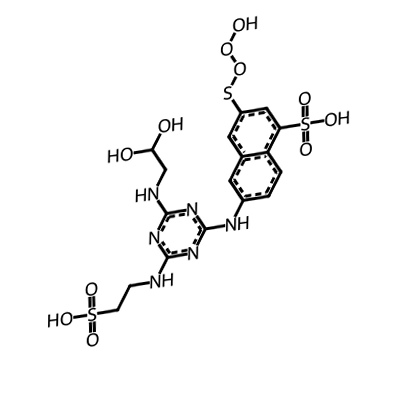 O=S(=O)(O)CCNc1nc(NCC(O)O)nc(Nc2ccc3c(S(=O)(=O)O)cc(SOOO)cc3c2)n1